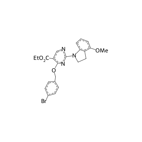 CCOC(=O)c1cnc(N2CCc3c(OC)cccc32)nc1OCc1ccc(Br)cc1